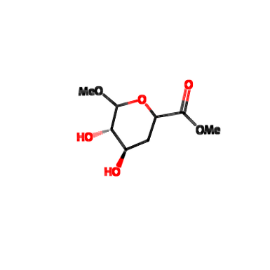 COC(=O)C1C[C@@H](O)[C@H](O)C(OC)O1